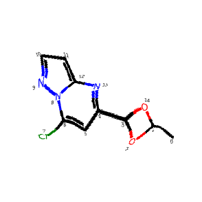 CC1OC(c2cc(Cl)n3nccc3n2)O1